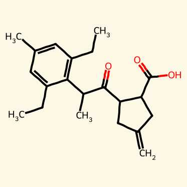 C=C1CC(C(=O)O)C(C(=O)C(C)c2c(CC)cc(C)cc2CC)C1